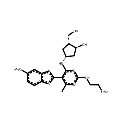 COCCNc1nc(C)c(-c2nc3cc(OC)ccc3s2)c(N[C@@H]2C[C@H](CO)[C@@H](O)C2)n1